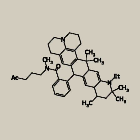 CCN1C2=CC3C(=CC2C(C)CC1(C)C)C(c1ccccc1C(=O)N(C)CCCC(C)=O)c1cc2c4c(c1C3(C)C)CCCN4CCC2